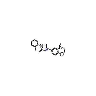 C=C(/C=C/c1ccc2c(c1)N(C)CCO2)Nc1ccccc1C